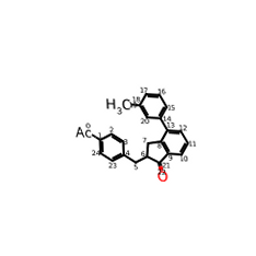 CC(=O)c1ccc(CC2Cc3c(cccc3-c3cccc(C)c3)C2=O)cc1